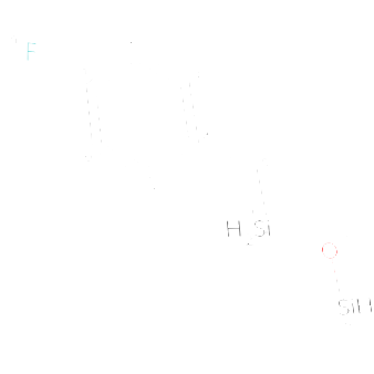 Fc1ccc(C[SiH2]O[SiH3])cc1